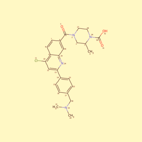 CC1CN(C(=O)c2ccc3c(Cl)cc(-c4ccc(CN(C)C)cc4)nc3c2)CCN1C(=O)O